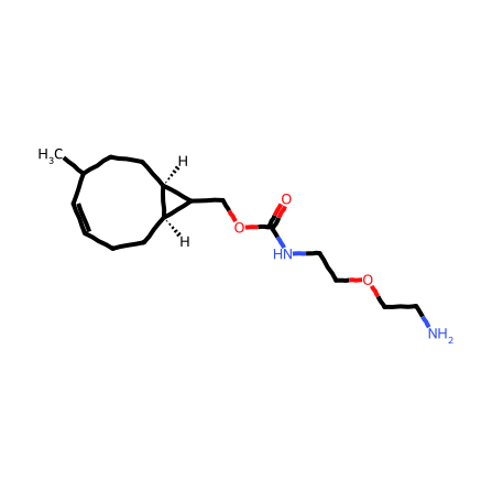 CC1/C=C\CC[C@@H]2C(COC(=O)NCCOCCN)[C@@H]2CC1